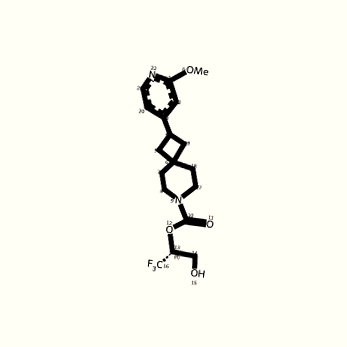 COc1cc(C2CC3(CCN(C(=O)O[C@H](CO)C(F)(F)F)CC3)C2)ccn1